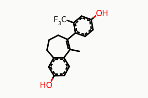 CC1=C(c2ccc(O)cc2C(F)(F)F)CCCc2cc(O)ccc21